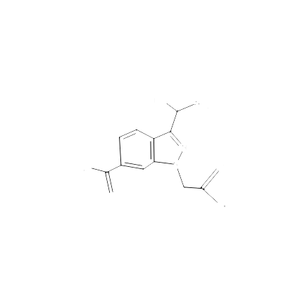 CC(=O)c1ccc2c(C(N)O)nn(CC(=O)O)c2c1